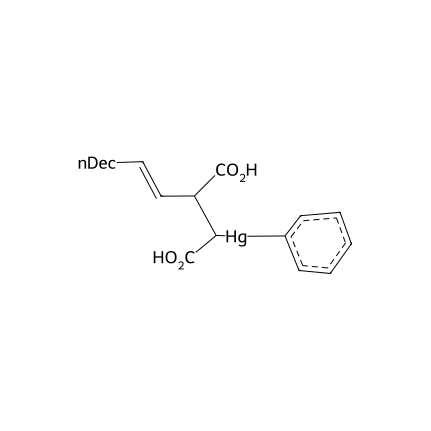 CCCCCCCCCCC=CC(C(=O)O)[CH]([Hg][c]1ccccc1)C(=O)O